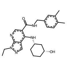 CCn1ncc2c(N[C@H]3CCC[C@@H](O)C3)c(C(=O)NCc3ccc(C)c(C)c3)cnc21